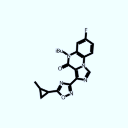 CCC(C)n1c(=O)c2c(-c3noc(C4CC4C)n3)ncn2c2ccc(F)cc21